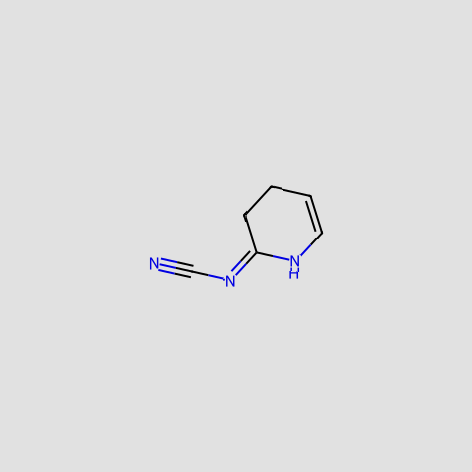 N#CN=C1CCC=CN1